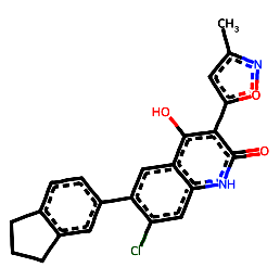 Cc1cc(-c2c(O)c3cc(-c4ccc5c(c4)CCC5)c(Cl)cc3[nH]c2=O)on1